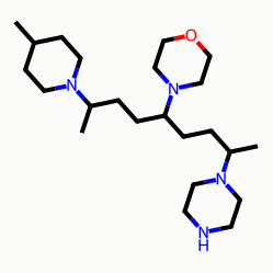 CC1CCN(C(C)CCC(CCC(C)N2CCNCC2)N2CCOCC2)CC1